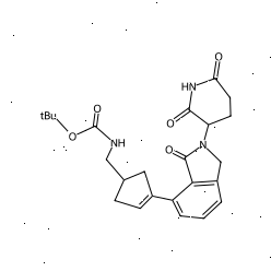 CC(C)(C)OC(=O)NCC1CC=C(c2cccc3c2C(=O)N(C2CCC(=O)NC2=O)C3)C1